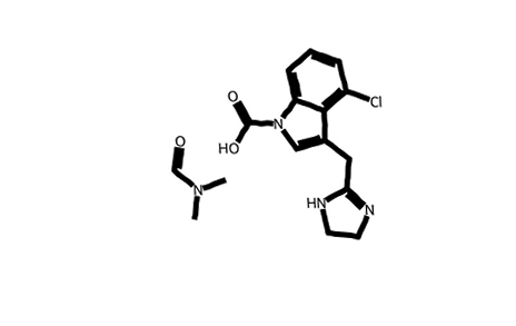 CN(C)C=O.O=C(O)n1cc(CC2=NCCN2)c2c(Cl)cccc21